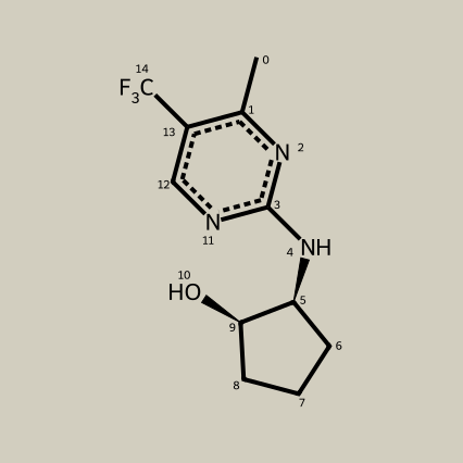 Cc1nc(N[C@H]2CCC[C@H]2O)ncc1C(F)(F)F